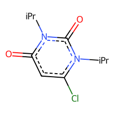 CC(C)n1c(Cl)cc(=O)n(C(C)C)c1=O